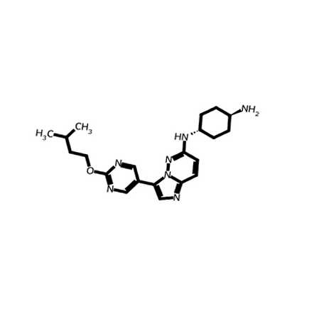 CC(C)CCOc1ncc(-c2cnc3ccc(N[C@H]4CC[C@H](N)CC4)nn23)cn1